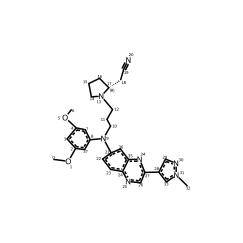 COc1cc(OC)cc(N(CCCN2CCC[C@@H]2CC#N)c2ccc3ncc(-c4cnn(C)c4)nc3c2)c1